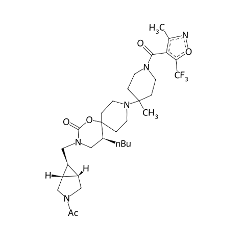 CCCC[C@H]1CN(C[C@H]2[C@@H]3CN(C(C)=O)C[C@@H]32)C(=O)OC12CCN(C1(C)CCN(C(=O)c3c(C)noc3C(F)(F)F)CC1)CC2